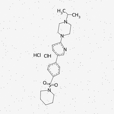 CC(C)N1CCN(c2ccc(-c3ccc(S(=O)(=O)N4CCCCC4)cc3)cn2)CC1.Cl.Cl